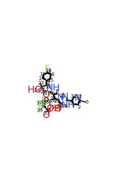 Cc1ccc(-c2nn3cc(C(=O)NC(c4ccc(F)cc4)C(C)(C)O)c(C(C)C)c3c(=O)[nH]2)cn1.O=C(O)C(F)(F)F